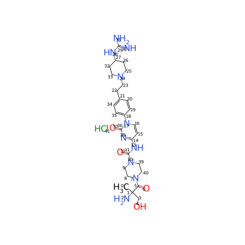 CC(N)(CO)C(=O)N1CCN(C(=O)Nc2ccn(-c3ccc(CCN4CCC(NC(=N)N)CC4)cc3)c(=O)n2)CC1.Cl